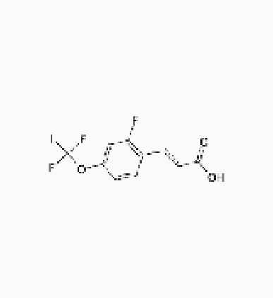 O=C(O)C=Cc1ccc(OC(F)(F)F)cc1F